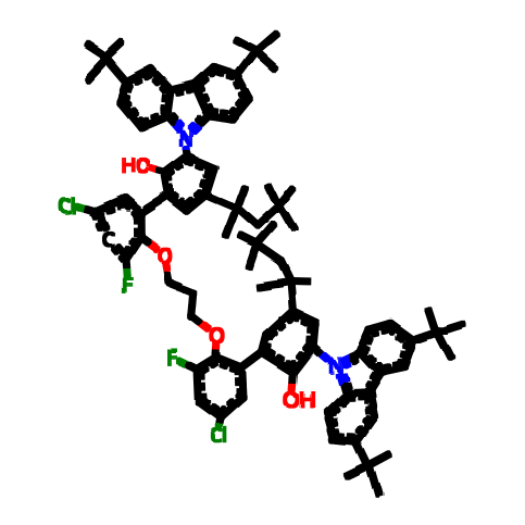 CC(C)(C)CC(C)(C)c1cc(-c2cc(Cl)cc(F)c2OCCCOc2c(F)cc(Cl)cc2-c2cc(C(C)(C)CC(C)(C)C)cc(-n3c4ccc(C(C)(C)C)cc4c4cc(C(C)(C)C)ccc43)c2O)c(O)c(-n2c3ccc(C(C)(C)C)cc3c3cc(C(C)(C)C)ccc32)c1